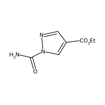 CCOC(=O)c1cnn(C(N)=O)c1